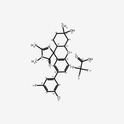 CN1C(=O)C2(N=C1N)c1cc(-c3cc(F)cc(Cl)c3)ccc1OC1CC(C)(O)CCC12.O=C(O)C(F)(F)F